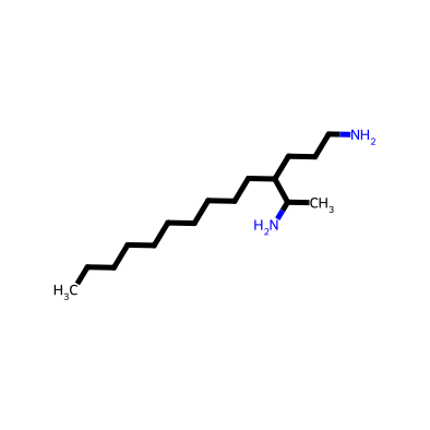 CCCCCCCCCCC(CCCN)C(C)N